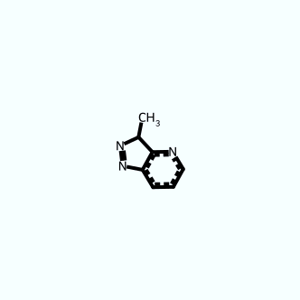 CC1N=Nc2cccnc21